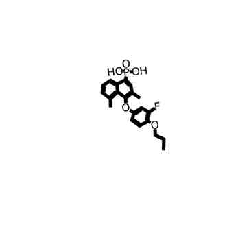 CCCOc1ccc(Oc2c(C)cc(P(=O)(O)O)c3cccc(C)c23)cc1F